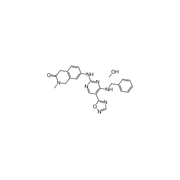 CN1Cc2cc(Nc3ncc(-c4ncno4)c(N[C@H](CO)c4ccccc4)n3)ccc2CC1=O